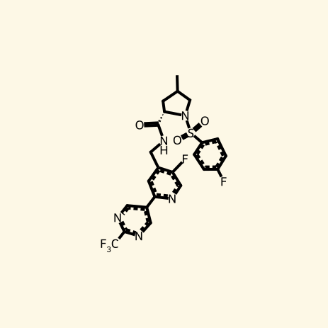 CC1C[C@@H](C(=O)NCc2cc(-c3cnc(C(F)(F)F)nc3)ncc2F)N(S(=O)(=O)c2ccc(F)cc2)C1